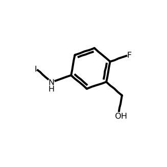 OCc1cc(NI)ccc1F